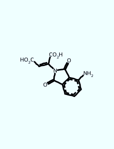 Nc1cccc2c1C(=O)N(/C(=C/C(=O)O)C(=O)O)C2=O